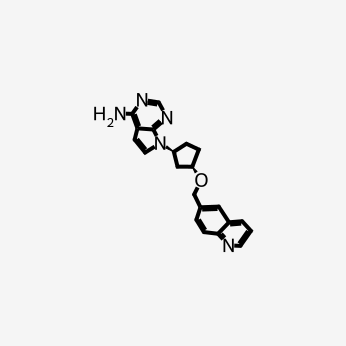 Nc1ncnc2c1ccn2[C@H]1CC[C@@H](OCc2ccc3ncccc3c2)C1